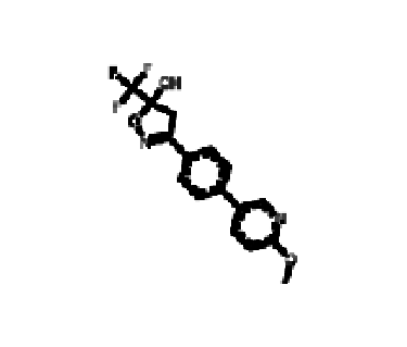 COc1ccc(-c2ccc(C3=NOC(O)(C(F)(F)F)C3)cc2)cn1